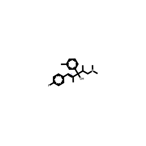 C/C(=C\c1ccc(F)cc1)C(O)(c1cccc(C)c1)C(C)CN(C)C